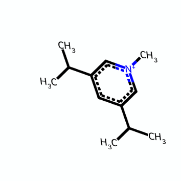 CC(C)c1cc(C(C)C)c[n+](C)c1